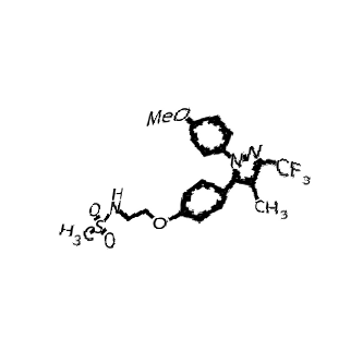 COc1ccc(-n2nc(C(F)(F)F)c(C)c2-c2ccc(OCCNS(C)(=O)=O)cc2)cc1